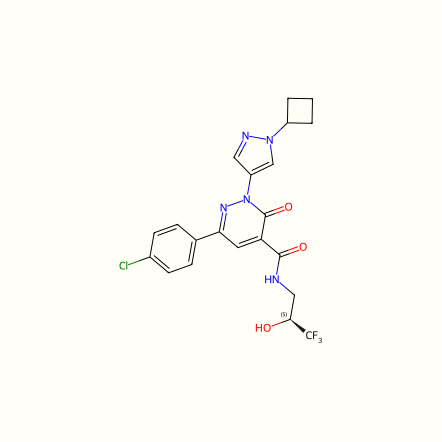 O=C(NC[C@H](O)C(F)(F)F)c1cc(-c2ccc(Cl)cc2)nn(-c2cnn(C3CCC3)c2)c1=O